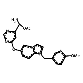 COc1ccc(Cn2ccc3cc(Oc4cc(C(N)OC(C)=O)ncn4)ccc32)cn1